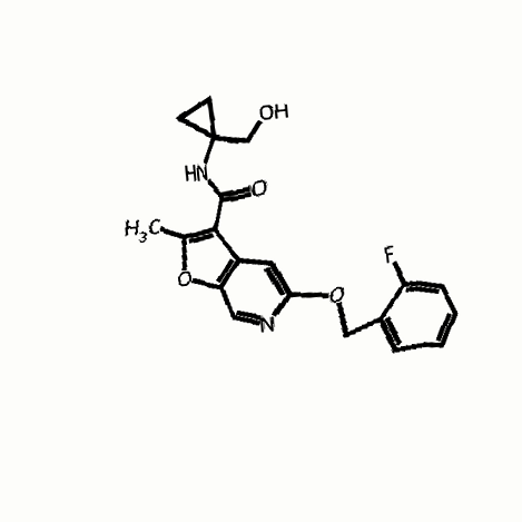 Cc1oc2cnc(OCc3ccccc3F)cc2c1C(=O)NC1(CO)CC1